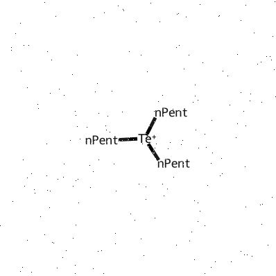 CCCCC[Te+](CCCCC)CCCCC